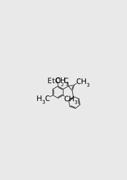 CCOC(=O)C1(c2c(C)cc(C)cc2C)C(C)=C1c1ccccc1